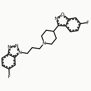 Fc1ccc2c(C3CCN(CCCn4nnc5ccc(F)cc54)CC3)noc2c1